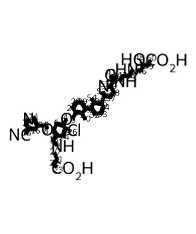 Cc1c(COc2cc(OCc3cncc(C#N)c3)c(CNCCCC(=O)O)cc2Cl)cccc1-c1cccc(-c2ccc(C(=O)NCCNC[C@@H](O)CC(=O)O)nc2)c1C